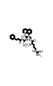 CC(NC(=O)/C=C/c1ccccc1)NC(=S)N(COC(=O)[C@@H](N)CCCNC(=N)N)c1cccc2cccnc12